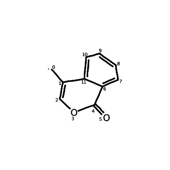 [CH2]c1coc(=O)c2ccccc12